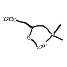 C[N+](C)(C)CC(CC(=O)[O-])OO